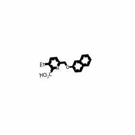 CCc1ccc(COc2ccc3ccccc3c2)nc1C(=O)O